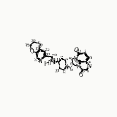 O=c1ccc2ncc(=O)n3c2n1C[C@H]3CN1CCC(NCc2cc3c(cn2)OCCS3)CC1